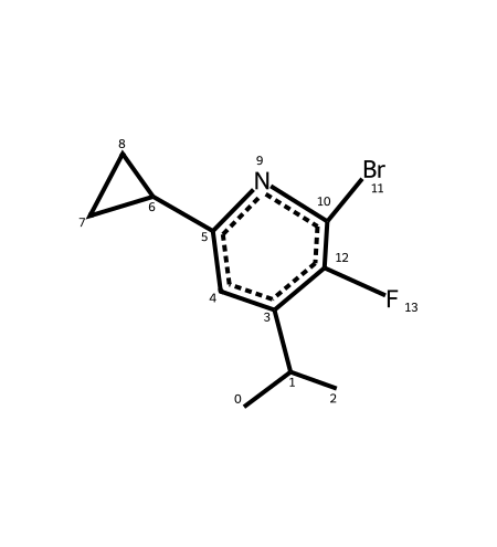 CC(C)c1cc(C2CC2)nc(Br)c1F